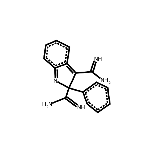 N=C(N)C1=c2ccccc2=NC1(C(=N)N)c1ccccc1